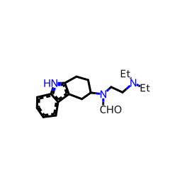 CCN(CC)CCN(C=O)C1CCc2[nH]c3ccccc3c2C1